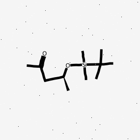 CC(=O)C[C@H](C)O[Si](C)(C)C(C)(C)C